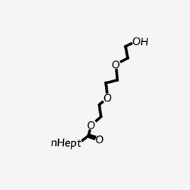 CCCCCCCC(=O)OCCOCCOCCO